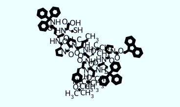 CC[C@H](C)[C@H](NC(=O)[C@H](COC(C)(C)C)NC(=O)[C@H](Cc1ccc(OC(C)(C)C)cc1)NC(=O)[C@@H](NC(=O)[C@H](CSC(c1ccccc1)(c1ccccc1)c1ccccc1)NC(=O)[C@@H]1CCCN1C(=O)OCC1c2ccccc2-c2ccccc21)[C@@H](C)OC(C)(C)C)C(=O)N1CCC[C@H]1C(=O)N1CCC[C@H]1C(=O)N[C@@H](CCC(=O)NC(c1ccccc1)(c1ccccc1)c1ccccc1)C(=O)N[C@@H](CS)C(=O)O